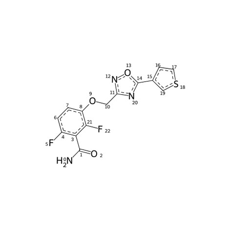 NC(=O)c1c(F)ccc(OCc2noc(-c3ccsc3)n2)c1F